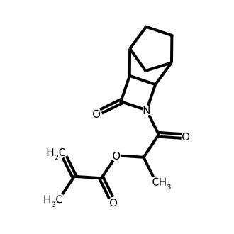 C=C(C)C(=O)OC(C)C(=O)N1C(=O)C2C3CCC(C3)C21